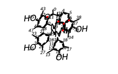 CC(=O)c1cccc(NN(c2cc(C)c(O)c(C)c2)N(c2cc(C)c(O)c(C)c2)N(Nc2cc(C)c(O)c(C)c2)c2cc(C)c(O)c(C)c2)c1